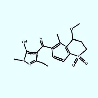 COC1CCS(=O)(=O)c2ccc(C(=O)c3c(C)nn(C)c3O)c(C)c21